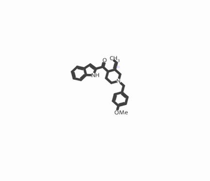 C/C=C1/CN(Cc2ccc(OC)cc2)CCC1C(=O)c1cc2ccccc2[nH]1